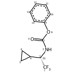 O=C(N[C@@H](C1CC1)C(F)(F)F)Oc1ccccc1